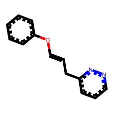 C(=COc1ccccc1)Cc1cccnn1